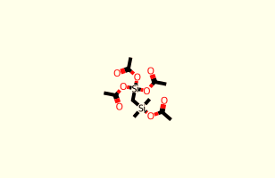 CC(=O)O[Si](C)(C)C[Si](OC(C)=O)(OC(C)=O)OC(C)=O